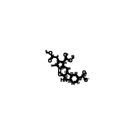 COC(=O)Cc1c(C)[nH]c(C=C2C(=O)Nc3ncc([N+](=O)[O-])cc32)c1C(=O)OC